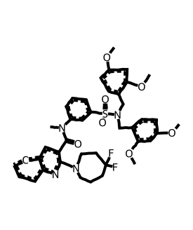 COc1ccc(CN(Cc2ccc(OC)cc2OC)S(=O)(=O)c2cccc(N(C)C(=O)c3cc4ccccc4nc3N3CCCC(F)(F)CC3)c2)c(OC)c1